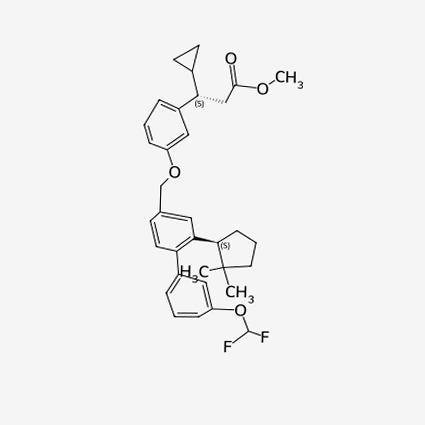 COC(=O)C[C@H](c1cccc(OCc2ccc(-c3cccc(OC(F)F)c3)c([C@H]3CCCC3(C)C)c2)c1)C1CC1